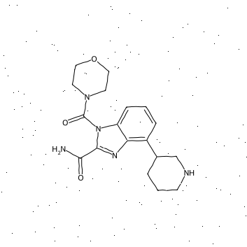 NC(=O)c1nc2c(C3CCCNC3)cccc2n1C(=O)N1CCOCC1